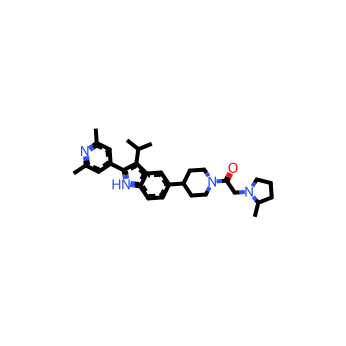 Cc1cc(-c2[nH]c3ccc(C4CCN(C(=O)CN5CCCC5C)CC4)cc3c2C(C)C)cc(C)n1